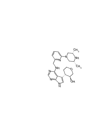 C[C@@H]1CN(c2cccc(CNc3ncnc4[nH]cc([C@@H]5CCOC[C@H]5O)c34)n2)C[C@H](C)N1